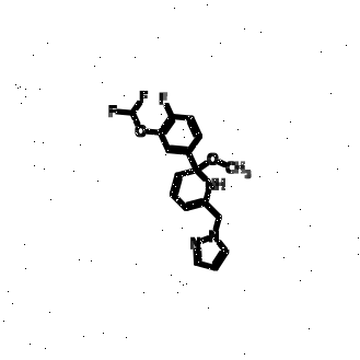 COC1(c2ccc(F)c(OC(F)F)c2)C=CC=C(Cn2cccn2)N1